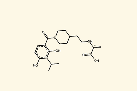 CC(C)c1c(O)ccc(C(=O)N2CCC(CCN[C@@H](C)C(=O)O)CC2)c1O